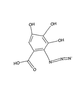 [N-]=[N+]=Nc1c(C(=O)O)cc(O)c(O)c1O